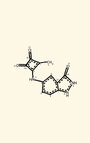 Cc1c(Nc2ccc3[nH][nH]c(=O)c3c2)c(=O)c1=O